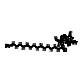 C=C(C)[C](=O)[Ti](=[O])([O]C(=O)CCCCCCCCCCCCCCC(C)C)([O]C(C)C)[C](=O)C(=C)C